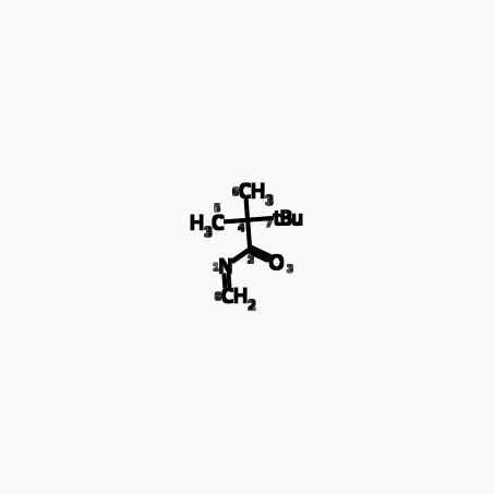 C=NC(=O)C(C)(C)C(C)(C)C